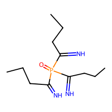 CCCC(=N)P(=O)(C(=N)CCC)C(=N)CCC